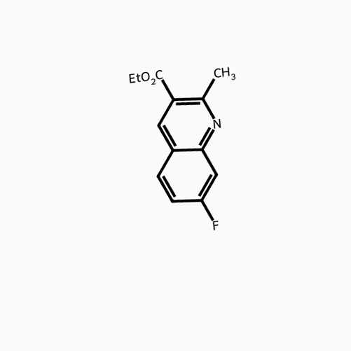 CCOC(=O)c1cc2ccc(F)cc2nc1C